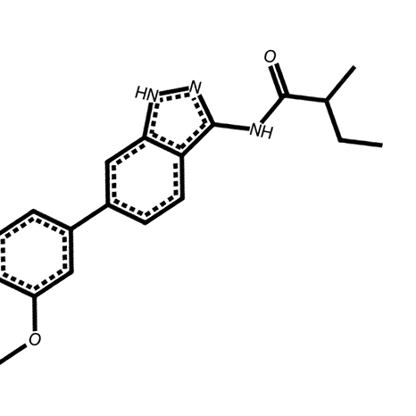 CCC(C)C(=O)Nc1n[nH]c2cc(-c3cccc(OC)c3)ccc12